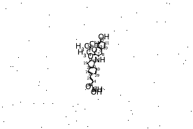 CC(C)(C)OC(=O)C(Cc1ccc(O)cc1)NC1CCc2cc(/C=C/C(=O)NO)ccc21